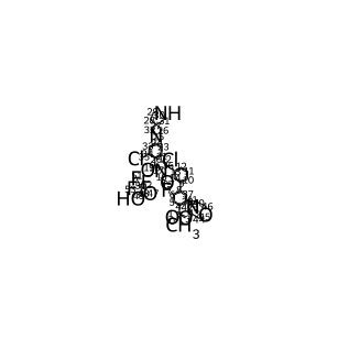 COC(=O)c1cc(F)c(-c2cccc3c2OCN(C(=O)c2c(Cl)cc(N4CC5(CCNC5)C4)cc2Cl)C3)cc1N1C2CCC1COC2.O=C(O)C(F)(F)F